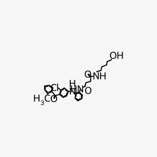 Cc1ccccc1C(=O)c1ccc(Nc2ccccc2NC(=O)CCC(=O)NCCCCCCO)cc1Cl